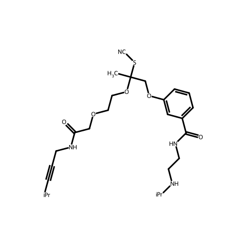 CC(C)C#CCNC(=O)COCCOC(C)(COc1cccc(C(=O)NCCNC(C)C)c1)SC#N